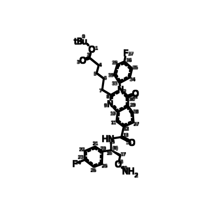 CC(C)(C)OC(=O)CCCCc1nc2cc(C(=O)N[C@@H](CON)c3ccc(F)cc3)ccc2c(=O)n1-c1ccc(F)cc1